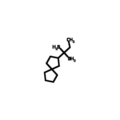 BC(B)(CC)C1CCC2(CCCC2)C1